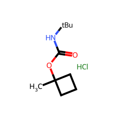 CC(C)(C)NC(=O)OC1(C)CCC1.Cl